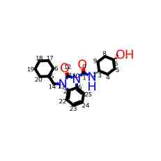 O=C(N[C@H]1CC[C@H](O)CC1)n1c(=O)n(CC2CCCCC2)c2ccccc21